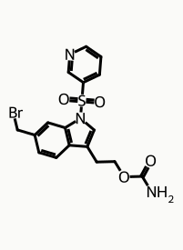 NC(=O)OCCc1cn(S(=O)(=O)c2cccnc2)c2cc(CBr)ccc12